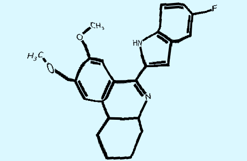 COc1cc2c(cc1OC)C1CCCCC1N=C2c1cc2cc(F)ccc2[nH]1